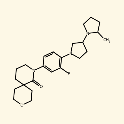 CC1CCCN1C1CCN(c2ccc(N3CCCC4(CCOCC4)C3=O)cc2F)C1